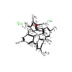 COc1cc(C)cc(C)c1[Si](c1c(C)cc(C)cc1OC)(c1c(C)cc(C)cc1OC)[C]1([Ti+3])C(C)=C(C)C(C)=C1C.[Cl-].[Cl-].[Cl-]